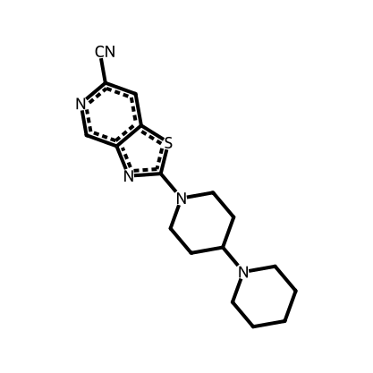 N#Cc1cc2sc(N3CCC(N4CCCCC4)CC3)nc2cn1